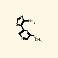 COc1cncc(-c2scnc2N)n1